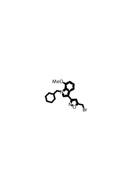 COc1cccc2c(-c3cc(CBr)on3)cn(CC3CCCCC3)c12